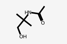 CC(=O)NC(C)(C)CO